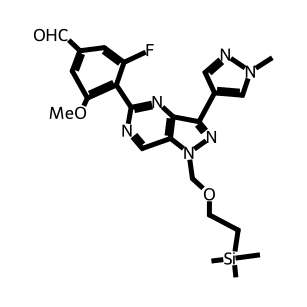 COc1cc(C=O)cc(F)c1-c1ncc2c(n1)c(-c1cnn(C)c1)nn2COCC[Si](C)(C)C